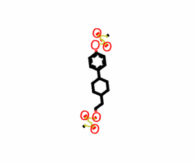 CS(=O)(=O)OCCC1CCC(c2ccc(OS(C)(=O)=O)cc2)CC1